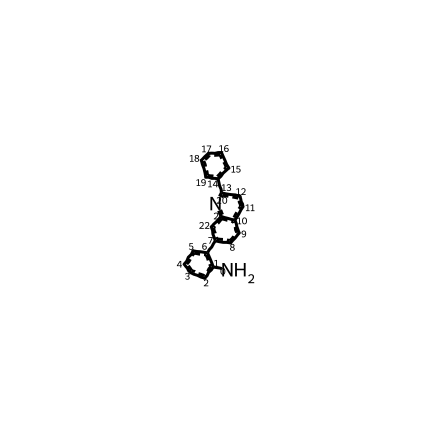 Nc1ccccc1-c1ccc2ccc(-c3ccccc3)nc2c1